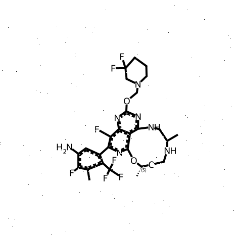 Cc1c(F)c(N)cc(-c2nc3c4c(nc(OCN5CCCC(F)(F)C5)nc4c2F)NCC(C)NCC[C@H](C)O3)c1C(F)(F)F